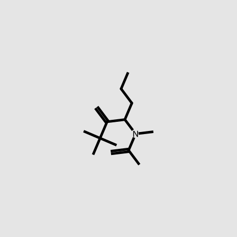 C=C(C)N(C)C(CCC)C(=C)C(C)(C)C